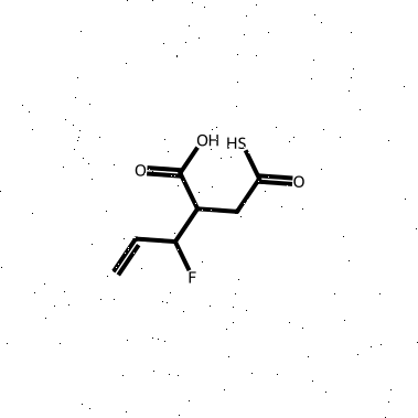 C=CC(F)C(CC(=O)S)C(=O)O